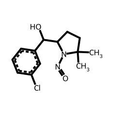 CC1(C)CCC(C(O)c2cccc(Cl)c2)N1N=O